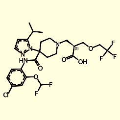 CC(C)c1ccnn1C1(C(=O)Nc2ccc(Cl)cc2OC(F)F)CCN(C[C@@H](COCC(F)(F)F)C(=O)O)CC1